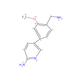 NCc1ccc(-c2ccc(N)nc2)cc1OC(F)(F)F